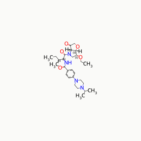 CCO[C@H]1CN(C(=O)[C@@H](NC(=O)c2ccc(N3CCN(C(C)C)CC3)cc2)[C@@H](C)CC)[C@@H]2C(=O)CO[C@H]12